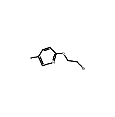 [CH2]c1ccc(OCCBr)nc1